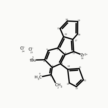 CC(C)=c1c(C(C)(C)C)cc2c(c1C1=CC=CC1)[C]([Zr+2])=c1ccccc1=2.[Cl-].[Cl-]